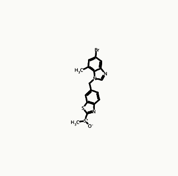 Cc1cc(Br)cc2ncn(Cc3ccc4nc([S+](C)[O-])sc4c3)c12